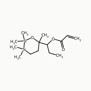 C=CC(=O)OC(CC)C1(C)CC[Si](C)(C)[Si](C)(C)O1